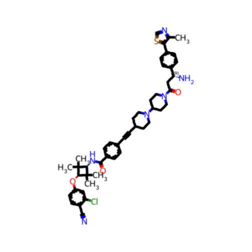 Cc1ncsc1-c1ccc([C@H](N)CC(=O)N2CCC(N3CCC(C#Cc4ccc(C(=O)N[C@H]5C(C)(C)[C@H](Oc6ccc(C#N)c(Cl)c6)C5(C)C)cc4)CC3)CC2)cc1